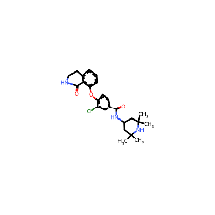 CC1(C)CC(NC(=O)c2ccc(Oc3cccc4c3C(=O)NCC4)c(Cl)c2)CC(C)(C)N1